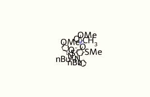 CCCCC1(CCCC)CN(c2ccccc2)c2cc(SC)c(O/C=C(\C)C(=O)OC)cc2[S+]([O-])N1Cc1ccc(OC)cc1